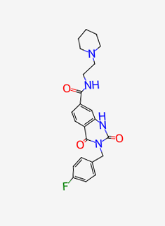 O=C(NCCN1CCCCC1)c1ccc2c(=O)n(Cc3ccc(F)cc3)c(=O)[nH]c2c1